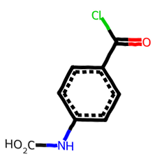 O=C(O)Nc1ccc(C(=O)Cl)cc1